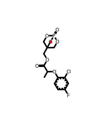 CC(Oc1ccc(F)cc1Cl)C(=O)OCC12COP(=O)(OC1)OC2